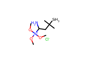 CO[N+](OC)(OC)C(N)CC(C)(C)[SiH3].[Cl-]